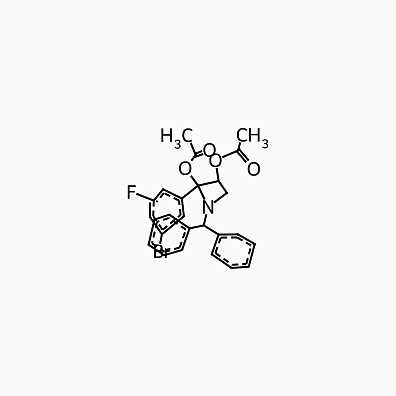 CC(=O)OC1CN(C(c2ccccc2)c2ccccc2)C1(OC(C)=O)c1cc(F)cc(Br)c1